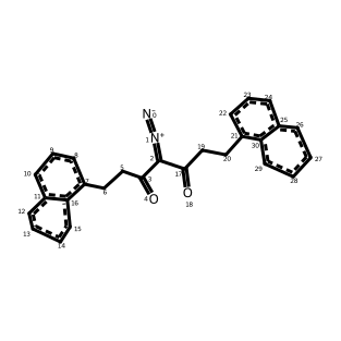 [N-]=[N+]=C(C(=O)CCc1cccc2ccccc12)C(=O)CCc1cccc2ccccc12